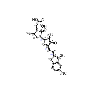 [C-]#[N+]c1ccc2c(c1)N(CC)/C(=C/C=c1/s/c(=C3\SC(=S)N(CP(=O)(O)O)C3=O)n(CC)c1=O)S2